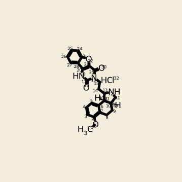 COc1cccc2c1CC[C@@H]1CNC(CCn3c(=O)[nH]c4c(oc5ccccc54)c3=O)[C@@H]21.Cl